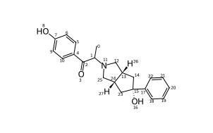 CC(C(=O)c1ccc(O)cc1)N1C[C@@H]2C[C@@](O)(c3ccccc3)C[C@@H]2C1